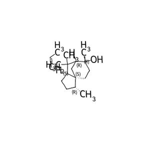 C=CC.C[C@@H]1CC[C@H]2C(C)(C)[C@H]3C[C@@]12CC[C@@]3(C)O